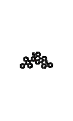 c1ccc(-c2c3ccccc3c(-c3ccc4c(c3)sc3cccc(-c5c6ccccc6c(-c6cccc7c6sc6ccccc67)c6ccccc56)c34)c3ccccc23)cc1